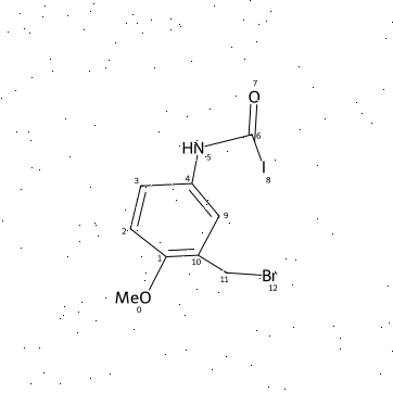 COc1ccc(NC(=O)I)cc1CBr